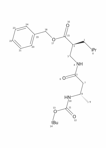 CC(C)C[C@@H](CNC(=O)C[C@H](C)NC(=O)OC(C)(C)C)C(=O)OCc1ccccc1